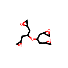 C1OC1CC(CC1CO1)OC(CC1CO1)CC1CO1